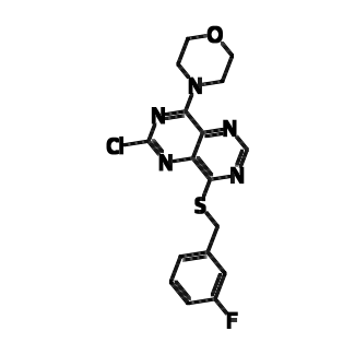 Fc1cccc(CSc2ncnc3c(N4CCOCC4)nc(Cl)nc23)c1